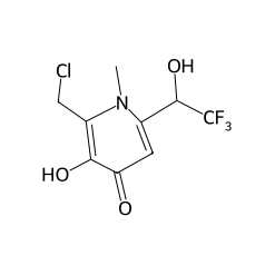 Cn1c(C(O)C(F)(F)F)cc(=O)c(O)c1CCl